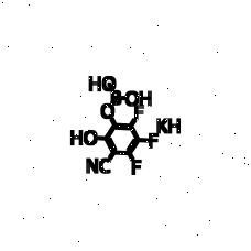 N#Cc1c(O)c(OB(O)O)c(F)c(F)c1F.[KH]